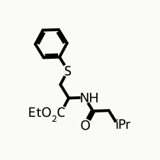 CCOC(=O)C(CSc1ccccc1)NC(=O)CC(C)C